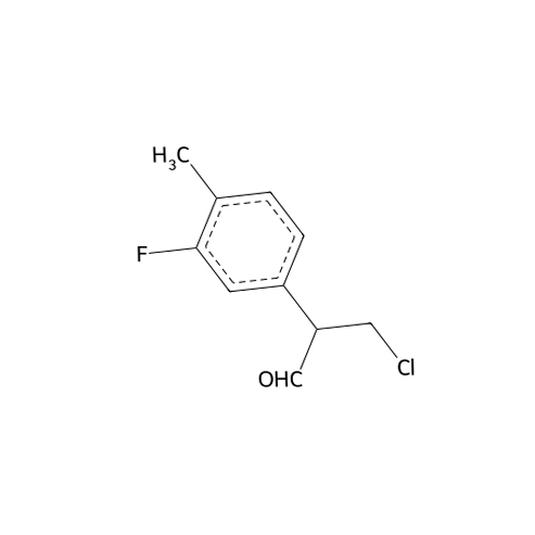 Cc1ccc(C(C=O)CCl)cc1F